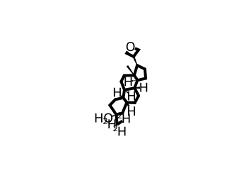 [2H]C([2H])([2H])[C@@]1(O)CC[C@H]2[C@H](CC[C@@H]3[C@@H]2CC[C@]2(C)[C@@H](C4COC4)CC[C@@H]32)C1